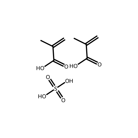 C=C(C)C(=O)O.C=C(C)C(=O)O.O=S(=O)(O)O